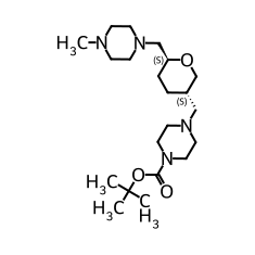 CN1CCN(C[C@@H]2CC[C@@H](CN3CCN(C(=O)OC(C)(C)C)CC3)CO2)CC1